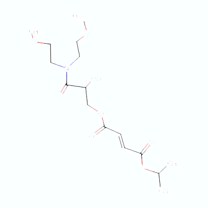 COCCN(CCOC)C(=O)C(O)COC(=O)/C=C/C(=O)OC(C)C